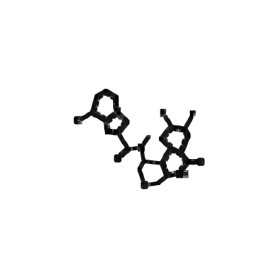 CN(C(=O)c1cc2c(Cl)cccn2c1)C1COCc2[nH]c(=O)c3cc(F)c(F)cc3c21